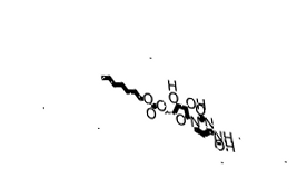 CCCCCCCOC(=O)OC[C@H]1O[C@@H](n2ccc(NO)nc2=O)[C@@H](O)[C@H]1O